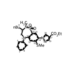 CCCCC1CN(c2ccccc2)c2cc(SC)c(-n3cc(C(=O)OCC)cn3)cc2S(=O)(=O)N1C